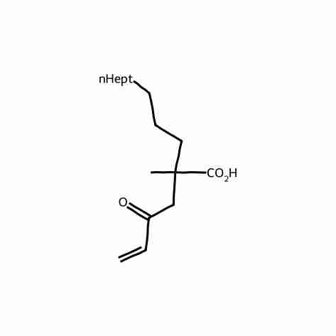 C=CC(=O)CC(C)(CCCCCCCCCC)C(=O)O